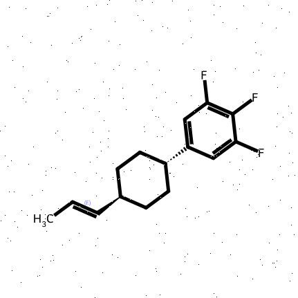 C/C=C/[C@H]1CC[C@H](c2cc(F)c(F)c(F)c2)CC1